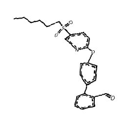 CCCCCCS(=O)(=O)c1ccc(Oc2ccc(-c3ccccc3C=O)cc2)nc1